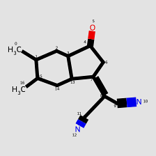 CC1CC2C(=O)CC(=C(C#N)C#N)C2CC1C